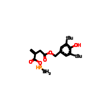 BPOC(=O)C(=C)CC(=O)OCc1cc(C(C)(C)C)c(O)c(C(C)(C)C)c1